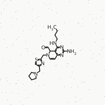 CCCCNc1nc(N)nc2c1C(C=O)N(Cc1nc(CN3CCCC3)cs1)C=C2